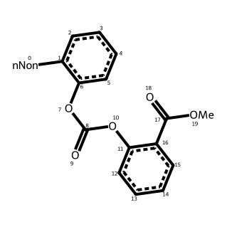 CCCCCCCCCc1ccccc1OC(=O)Oc1ccccc1C(=O)OC